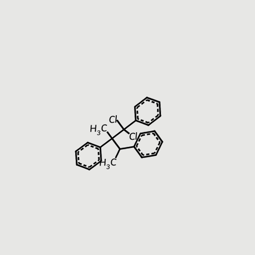 CC(c1ccccc1)C(C)(c1ccccc1)C(Cl)(Cl)c1ccccc1